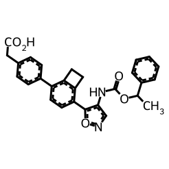 CC(OC(=O)Nc1cnoc1-c1ccc(-c2ccc(CC(=O)O)cc2)c2c1CC2)c1ccccc1